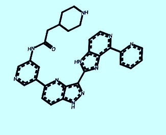 O=C(CC1CCNCC1)Nc1cncc(-c2ccc3[nH]nc(-c4nc5c(-c6ccccn6)nccc5[nH]4)c3n2)c1